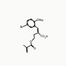 C=C(C)C(=O)OCCC(=Cc1cc(Br)ccc1OC)C(=O)O